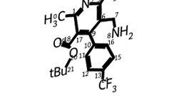 Cc1nc(CC(C)C)c(CN)c(-c2ccc(C(F)(F)F)cc2)c1C(=O)OC(C)(C)C